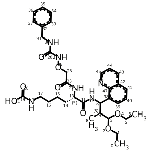 CCOC(OCC)[C@@H](C)C(NC(=O)[C@H](CCCCNC(=O)O)NC(=O)CONC(=O)NCc1ccccc1)c1cccc2cccnc12